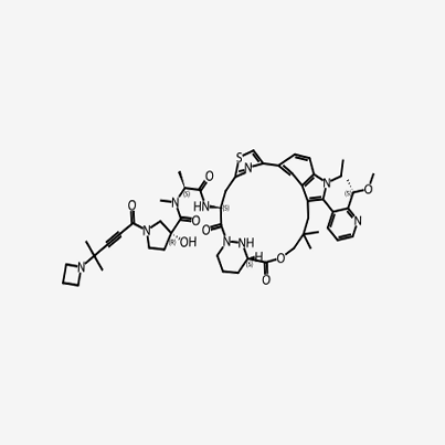 CCn1c(-c2cccnc2[C@H](C)OC)c2c3cc(ccc31)-c1csc(n1)C[C@H](NC(=O)[C@H](C)N(C)C(=O)[C@@]1(O)CCN(C(=O)C#CC(C)(C)N3CCC3)C1)C(=O)N1CCC[C@H](N1)C(=O)OCC(C)(C)C2